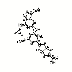 N#Cc1cc(Nc2nc(NC3CC3)c3ncc(C#N)n3n2)c(Cl)c(N2CC3CN(C(=O)O)CC3C2)c1